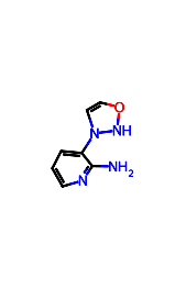 Nc1ncccc1N1C=CON1